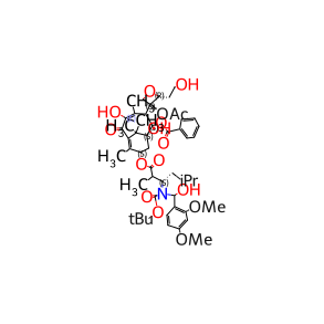 COc1ccc(C(O)N(C(=O)OC(C)(C)C)[C@@H](CC(C)C)C(C)C(=O)O[C@H]2C[C@@]3(O)[C@@H](OC(=O)c4ccccc4)C([C@]4(OC(C)=O)CO[C@@H]4CCO)/C(C)=C(/O)C(=O)C(=C2C)C3(C)C)c(OC)c1